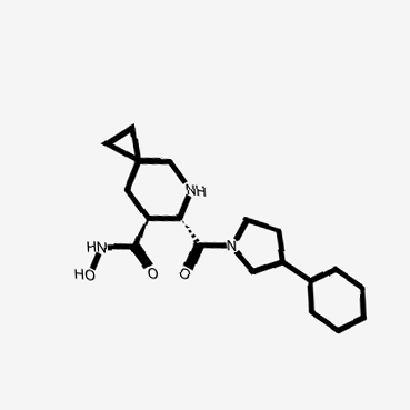 O=C(NO)[C@H]1CC2(CC2)CN[C@@H]1C(=O)N1CCC(C2CCCCC2)C1